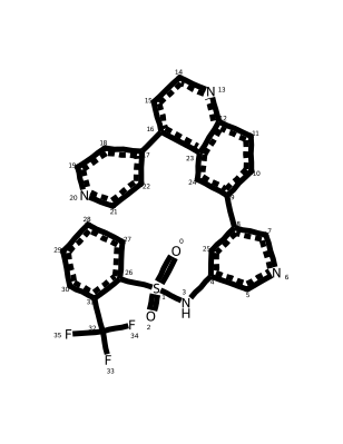 O=S(=O)(Nc1cncc(-c2ccc3nccc(-c4ccncc4)c3c2)c1)c1ccccc1C(F)(F)F